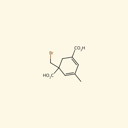 CC1=CC(CBr)(C(=O)O)CC(C(=O)O)=C1